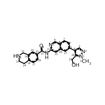 Cn1ncc(-c2ccc3cnc(NC(=O)c4ccc5c(c4)CNCC5)cc3c2)c1CO